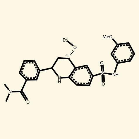 CCO[C@H]1CC(c2cccc(C(=O)N(C)C)c2)Nc2ccc(S(=O)(=O)Nc3cccc(OC)c3)cc21